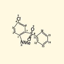 CNc1ccc(Cl)cc1S(=O)(=O)c1ccccc1